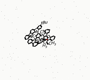 C/C=C\c1c(CC(C)(C)/C=C\CNc2c(-n3c4c(c5ccccc53)CCC=C4)c(C#N)c(-n3c4ccc(C(C)(C)C)cc4c4ccc5c6ccccc6oc5c43)c(C#N)c2-n2c3ccccc3c3ccccc32)oc2ccccc12